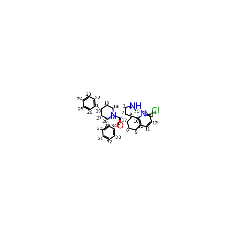 O=C([C@@H]1CNC[C@]12CCCc1ccc(Cl)nc12)N1CC[C@@H](c2ccccc2)C[C@H]1c1ccccc1